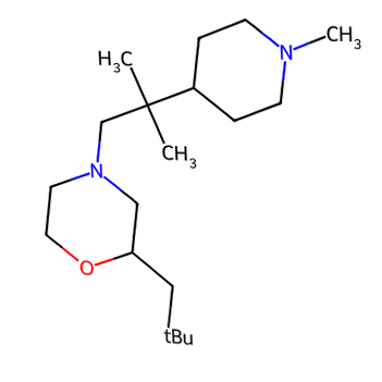 CN1CCC(C(C)(C)CN2CCOC(CC(C)(C)C)C2)CC1